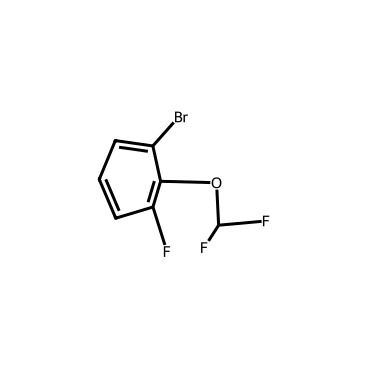 Fc1cccc(Br)c1OC(F)F